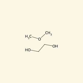 COC.OCCO